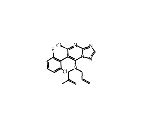 C=CCN(CC(=C)C)c1c(-c2c(F)cccc2Cl)c(Cl)nc2ncnn12